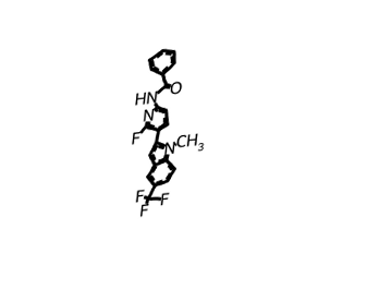 Cn1c(-c2ccc(NC(=O)c3ccccc3)nc2F)cc2cc(C(F)(F)F)ccc21